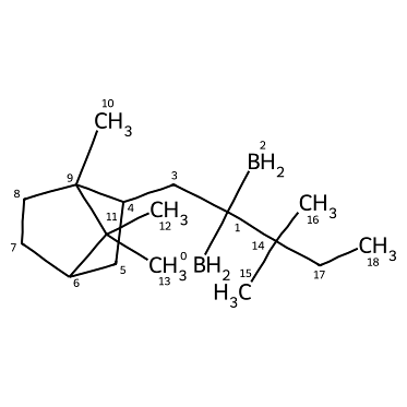 BC(B)(CC1CC2CCC1(C)C2(C)C)C(C)(C)CC